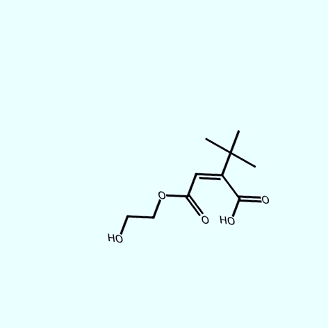 CC(C)(C)C(=CC(=O)OCCO)C(=O)O